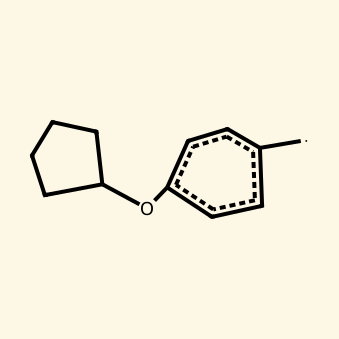 [CH2]c1ccc(OC2CCCC2)cc1